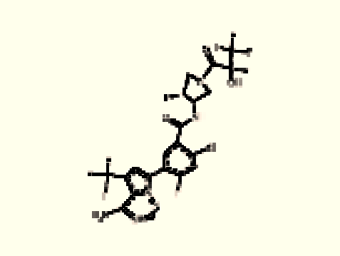 C[C@@](O)(C(=O)N1C[C@H](F)[C@H](NC(=O)c2cc(-c3cc(C(F)(F)F)c4c(N)ncnn34)c(F)cc2Cl)C1)C(F)(F)F